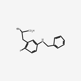 CC(C)(C)C(Cc1cc(NCc2ccccc2)ccc1F)C(=O)O